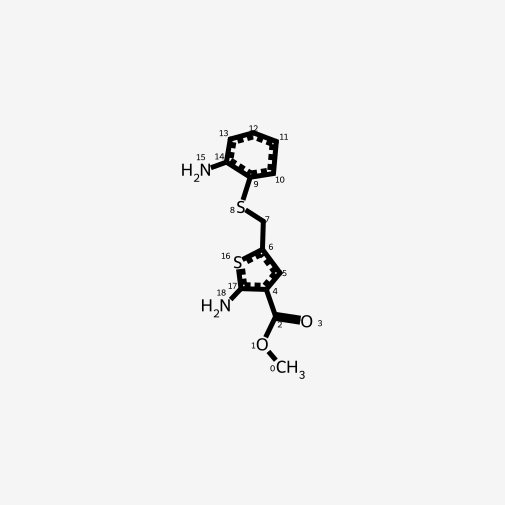 COC(=O)c1cc(CSc2ccccc2N)sc1N